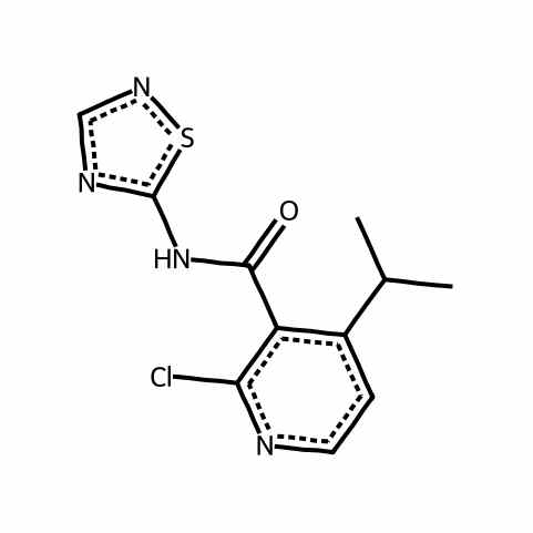 CC(C)c1ccnc(Cl)c1C(=O)Nc1ncns1